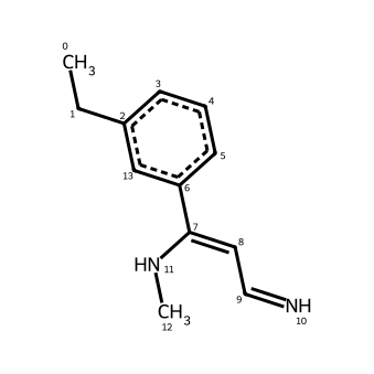 CCc1cccc(/C(=C/C=N)NC)c1